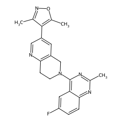 Cc1nc(N2CCc3ncc(-c4c(C)noc4C)cc3C2)c2cc(F)ccc2n1